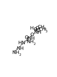 CC(C)(C)OC(=O)NCCOCCNC(=O)[C@@H](N)CCNCCCCNCCCN